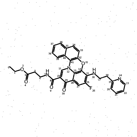 CCOC(=O)CCNC(=O)c1cn2c3c(c(NCCc4ccccn4)c(F)cc3c1=O)Oc1ccc3ccccc3c1-2